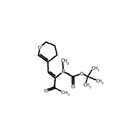 CC(=O)/C(=C/C1=COCCC1)N(C)C(=O)OC(C)(C)C